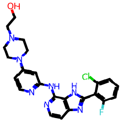 OCCN1CCN(c2ccnc(Nc3nccc4nc(-c5c(F)cccc5Cl)[nH]c34)c2)CC1